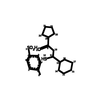 Cc1ccc(S(=O)(=O)O)cc1.O=C(CC(S)C1CCCCC1)C1CCCC1